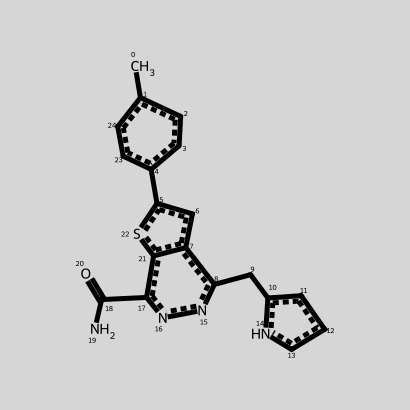 Cc1ccc(-c2cc3c(Cc4ccc[nH]4)nnc(C(N)=O)c3s2)cc1